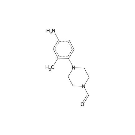 Cc1cc(N)ccc1N1CCN(C=O)CC1